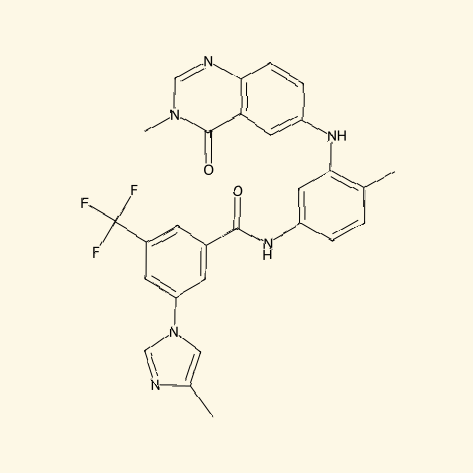 Cc1cn(-c2cc(C(=O)Nc3ccc(C)c(Nc4ccc5ncn(C)c(=O)c5c4)c3)cc(C(F)(F)F)c2)cn1